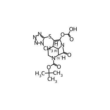 Cn1nnnc1SC1=C(OC(=O)O)N2C(=O)[C@@H]3[C@H]2C1CCN3C(=O)OC(C)(C)C